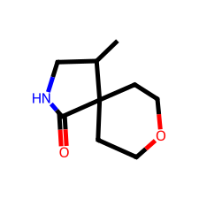 CC1CNC(=O)C12CCOCC2